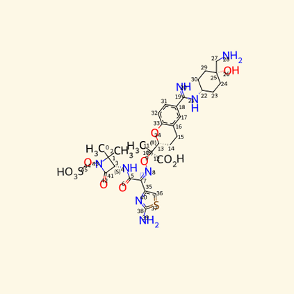 CC1(C)[C@H](NC(=O)/C(=N\O[C@](C)(C(=O)O)[C@H]2CCc3cc(C(=N)N[C@H]4CC[C@](O)(CN)CC4)ccc3O2)c2csc(N)n2)C(=O)N1OS(=O)(=O)O